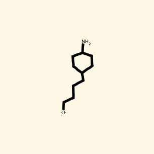 NC1CCC(CCCC[O])CC1